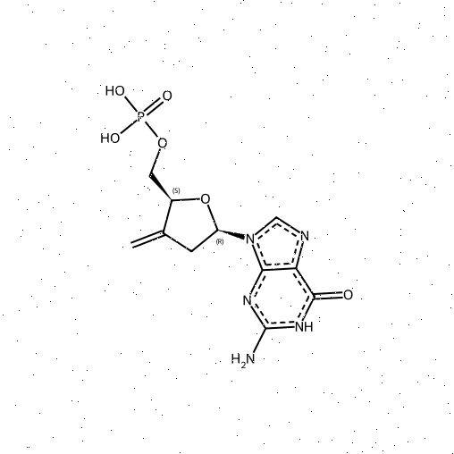 C=C1C[C@H](n2cnc3c(=O)[nH]c(N)nc32)O[C@@H]1COP(=O)(O)O